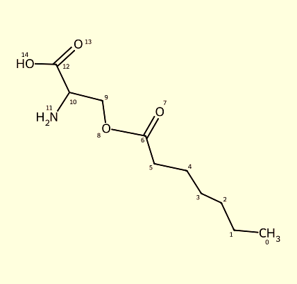 CCCCCCC(=O)OCC(N)C(=O)O